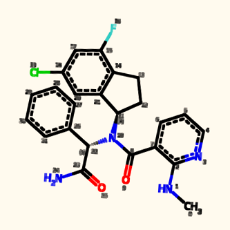 CNc1ncccc1C(=O)N([C@@H]1CCc2c(F)cc(Cl)cc21)[C@H](C(N)=O)c1ccccc1